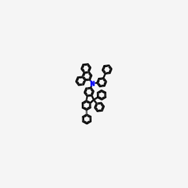 c1ccc(-c2cccc(N(c3ccc4c(c3)C(c3ccccc3)(c3ccccc3)c3cc(-c5ccccc5)ccc3-4)c3cc4ccccc4c4ccccc34)c2)cc1